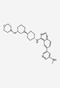 CNc1cncc(-c2ccc3ncnc(N[C@H]4CC[C@H](N5CCC[C@H](CN6CCOCC6)C5)CC4)c3c2)c1